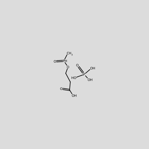 C[PH](=O)OCCC(=O)O.O=P(O)(O)O